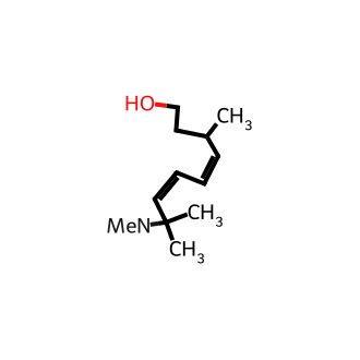 CNC(C)(C)/C=C\C=C/C(C)CCO